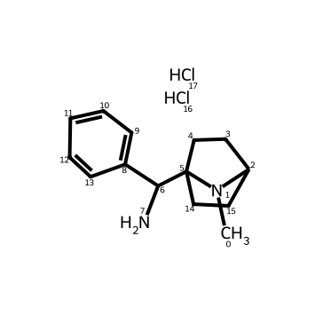 CN1C2CCC1(C(N)c1ccccc1)CC2.Cl.Cl